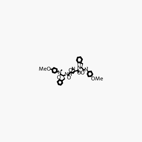 COc1ccc(N(C)C(=O)[C@H](Cc2ccccc2)NC(=O)c2cc(C(=O)N[C@@H](Cc3ccccc3)C(=O)N(C)c3ccc(OC)cc3)on2)cc1